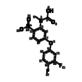 CN(C(=O)O)c1cc(Oc2ccc(F)c(F)c2)ccc1[N+](=O)[O-]